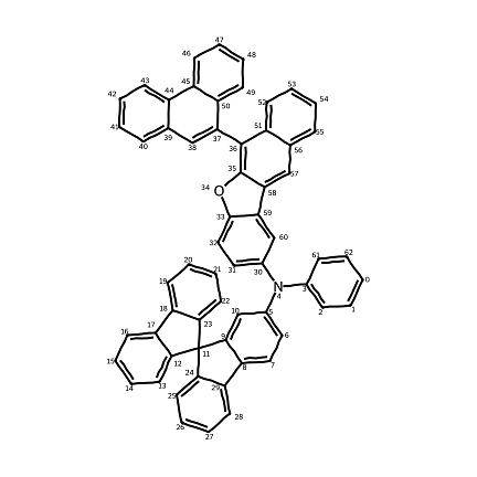 c1ccc(N(c2ccc3c(c2)C2(c4ccccc4-c4ccccc42)c2ccccc2-3)c2ccc3oc4c(-c5cc6ccccc6c6ccccc56)c5ccccc5cc4c3c2)cc1